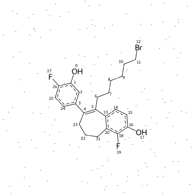 Oc1cc(C2=C(CCCCCCBr)c3ccc(O)c(F)c3CCC2)ccc1F